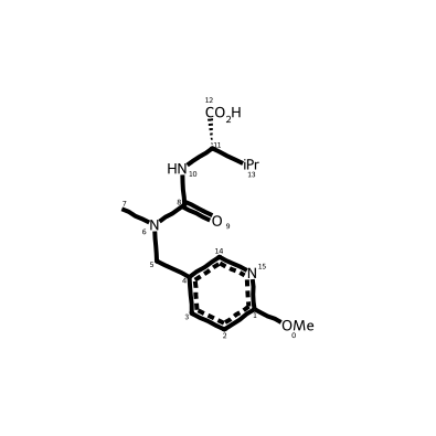 COc1ccc(CN(C)C(=O)N[C@H](C(=O)O)C(C)C)cn1